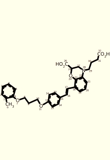 Cc1ccccc1OCCCOc1ccc(/C=C/c2cccc3c2OC(C(=O)O)CN3CCCC(=O)O)cc1